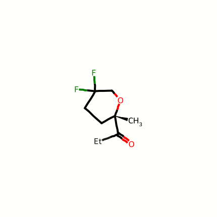 CCC(=O)[C@]1(C)CCC(F)(F)CO1